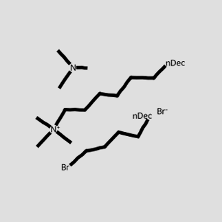 CCCCCCCCCCCCCCBr.CCCCCCCCCCCCCCCC[N+](C)(C)C.CN(C)C.[Br-]